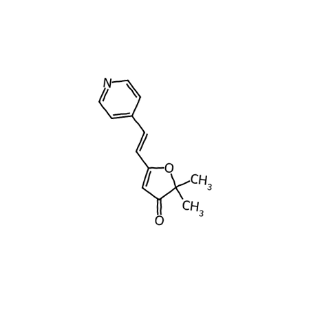 CC1(C)OC(C=Cc2ccncc2)=CC1=O